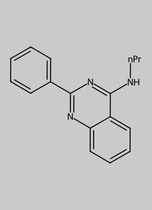 CCCNc1nc(-c2ccccc2)nc2ccccc12